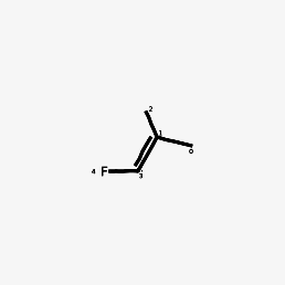 CC(C)=[C]F